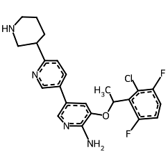 CC(Oc1cc(-c2ccc(C3CCCNC3)nc2)cnc1N)c1c(F)ccc(F)c1Cl